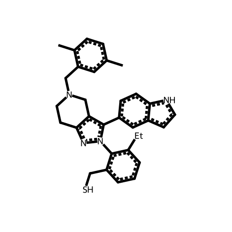 CCc1cccc(CS)c1-n1nc2c(c1-c1ccc3[nH]ccc3c1)CN(Cc1cc(C)ccc1C)CC2